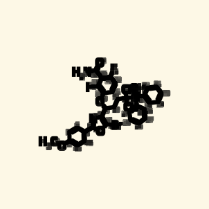 COc1ccc(-c2nc(C(CCC(C)(C)[Si](O)(c3ccccc3)c3ccccc3)Oc3ccc(F)c(C(N)=O)c3F)c(Br)o2)cc1